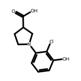 O=C(O)C1CCN(c2cccc(O)c2Cl)C1